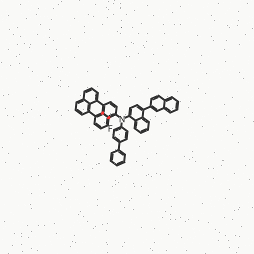 Fc1ccc(-c2cccc3cccc(-c4ccc(N(c5ccc(-c6ccccc6)cc5)c5ccc(-c6ccc7ccccc7c6)c6ccccc56)cc4)c23)cc1